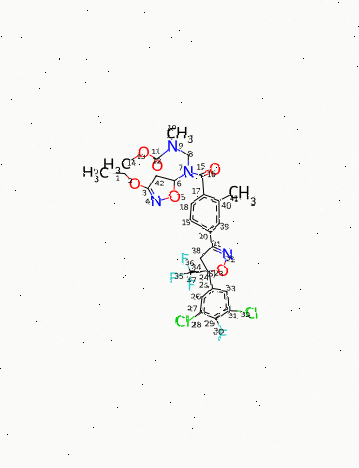 CCOC1=NOC(N(CN(C)C(=O)OC)C(=O)c2ccc(C3=NO[C@@](c4cc(Cl)c(F)c(Cl)c4)(C(F)(F)F)C3)cc2C)C1